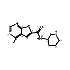 Cc1ncnc2sc(C(=O)NC3CCCNC3)cc12